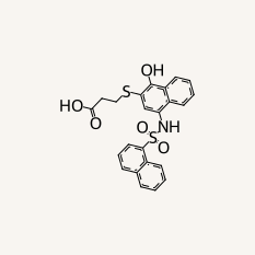 O=C(O)CCSc1cc(NS(=O)(=O)c2cccc3ccccc23)c2ccccc2c1O